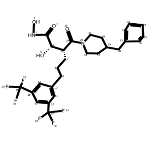 O=C(NO)[C@@H](O)[C@@H](CCCc1cc(C(F)(F)F)cc(C(F)(F)F)c1)C(=O)N1CCC(Cc2ccccc2)CC1